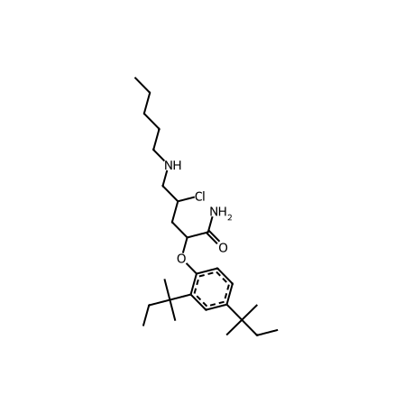 CCCCCNCC(Cl)CC(Oc1ccc(C(C)(C)CC)cc1C(C)(C)CC)C(N)=O